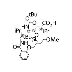 COCCCCOc1ccccc1C(=O)NC[C@@H](C[C@H](NC(=O)OC(C)(C)C)[C@H](C[C@H](C(=O)O)C(C)C)O[Si](C)(C)C(C)(C)C)C(C)C